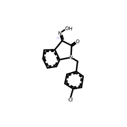 O=C1/C(=N\O)c2ccccc2N1Cc1ccc(Cl)cc1